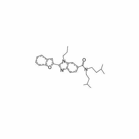 CCCn1c(-c2cc3ccccc3o2)nc2ccc(C(=O)N(CCC(C)C)CCC(C)C)cc21